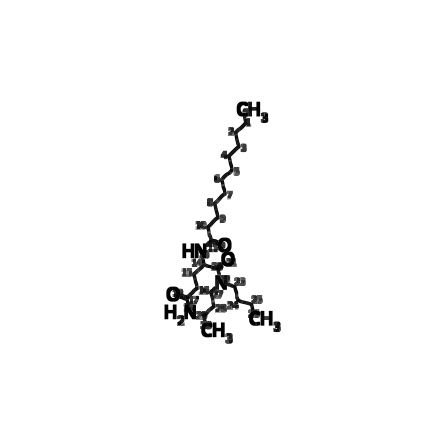 CCCCCCCCCCCC(=O)NC(CCC(N)=O)C(=O)N(CCCC)CCCC